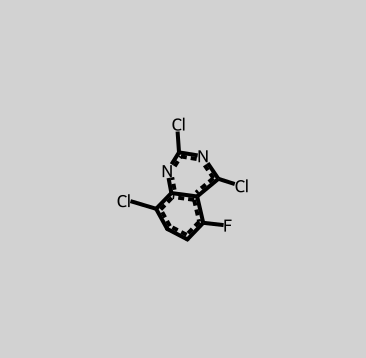 Fc1ccc(Cl)c2nc(Cl)nc(Cl)c12